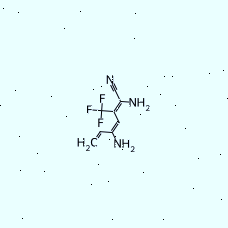 C=C/C(N)=C\C(=C(/N)C#N)C(F)(F)F